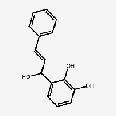 Oc1cccc(C(O)C=Cc2ccccc2)c1O